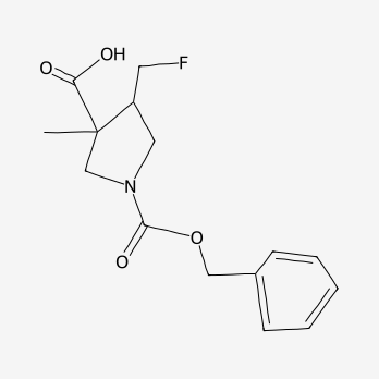 CC1(C(=O)O)CN(C(=O)OCc2ccccc2)CC1CF